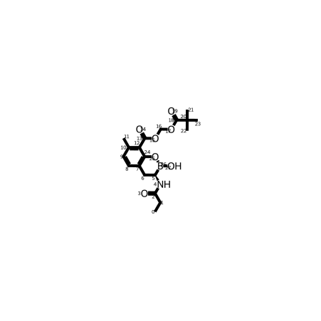 CCC(=O)N[C@H]1Cc2ccc(C)c(C(=O)OCOC(=O)C(C)(C)C)c2OB1O